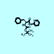 CC(C)(C)OC(=O)N[C@@H](Cc1ccccc1)C(=O)Nc1ccccn1